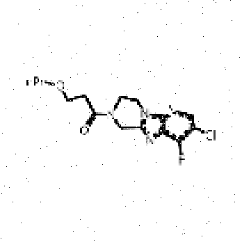 CCCOCCC(=O)N1CCn2c(nc3c(F)c(Cl)cnc32)C1